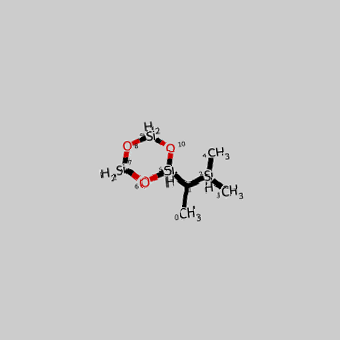 CC([SiH](C)C)[SiH]1O[SiH2]O[SiH2]O1